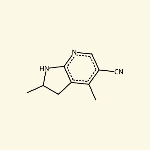 Cc1c(C#N)cnc2c1CC(C)N2